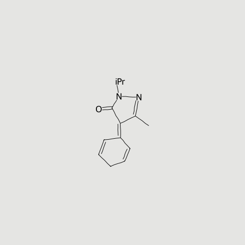 CC1=NN(C(C)C)C(=O)C1=C1C=CCC=C1